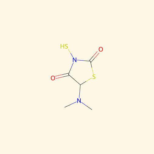 CN(C)C1SC(=O)N(S)C1=O